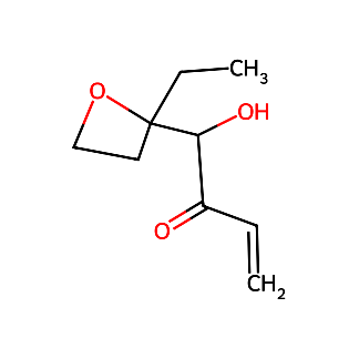 C=CC(=O)C(O)C1(CC)CCO1